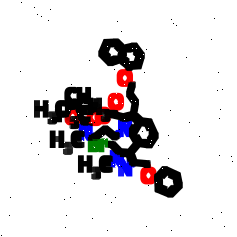 CCOC(=O)c1c(CCCOc2cccc3ccccc23)c2cccc(-c3c(COc4ccccc4)nn(C)c3CBr)c2n1CCCN(C)C(=O)OC(C)(C)C